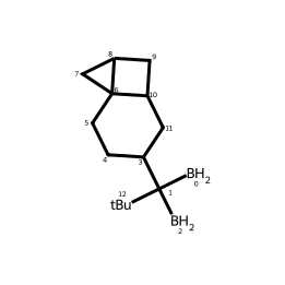 BC(B)(C1CCC23CC2CC3C1)C(C)(C)C